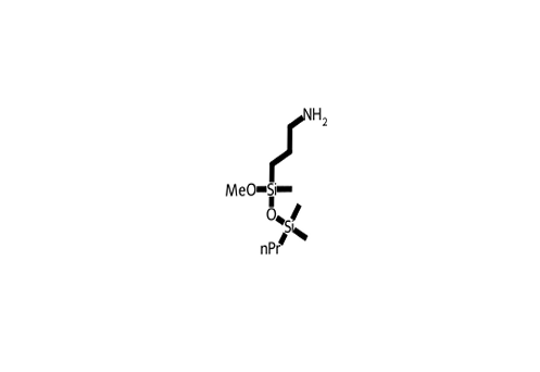 CCC[Si](C)(C)O[Si](C)(CCCN)OC